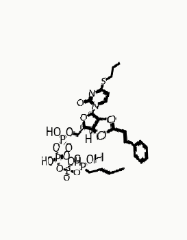 CCCCP(=O)(O)OP(=O)(O)OP(=O)(O)OP(=O)(O)OC[C@H]1O[C@@H](n2ccc(SCCC)nc2=O)C2OC(CCc3ccccc3)O[C@H]21